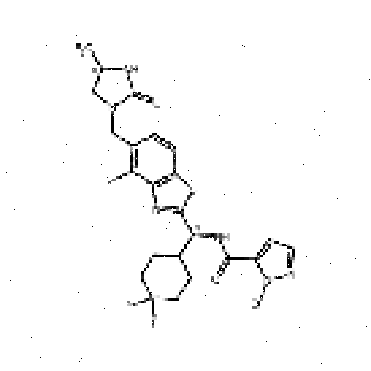 CCn1nccc1C(=O)N[C@H](c1nc2c(F)c(CN3C[C@@H](C(F)(F)F)NC3=O)ccc2o1)C1CCC(F)(F)CC1